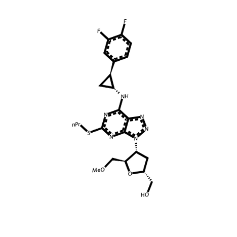 CCCSc1nc(N[C@@H]2C[C@H]2c2ccc(F)c(F)c2)c2nnn([C@@H]3C[C@H](CO)O[C@H]3COC)c2n1